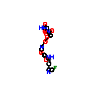 C[C@@H](C(=O)Nc1ccc(OC2CCN(CCCOCCOc3cccc4c3C(=O)N(C3CCC(=O)NC3=O)C4=O)CC2)cc1)[C@H]1CC[C@@H](c2ccnc3ccc(F)cc32)CC1